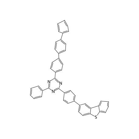 c1ccc(-c2ccc(-c3ccc(-c4nc(-c5ccccc5)nc(-c5ccc(-c6ccc7sc8ccccc8c7c6)cc5)n4)cc3)cc2)cc1